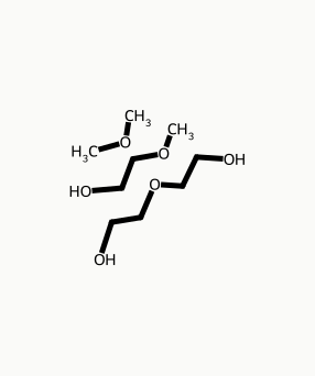 COC.COCCO.OCCOCCO